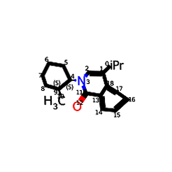 CC(C)c1cn([C@H]2CCCC[C@@H]2C)c(=O)c2ccccc12